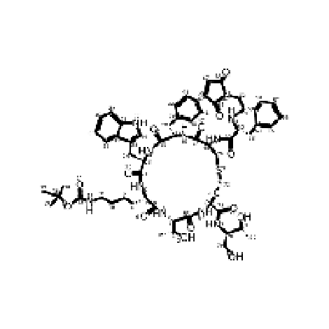 C[C@@H](O)[C@@H]1NC(=O)[C@H](CCCCNC(=O)OC(C)(C)C)NC(=O)[C@@H](Cc2c[nH]c3ccccc23)NC(=O)[C@H](Cc2ccccc2)NC(=O)[C@@H](NC(=O)[C@@H](Cc2ccccc2)NCCN2C(=O)C=CC2=O)CSSC[C@@H](C(=O)N[C@H](CO)[C@@H](C)O)NC1=O